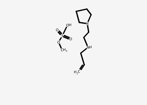 C=CCNCCN1CCCC1.COS(=O)(=O)O